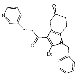 CCc1c(C(=O)CCc2cccnc2)c2c(n1Cc1ccccc1)CCC(=O)C2